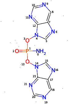 NP(=O)(On1cnc2cncnc21)On1cnc2cncnc21